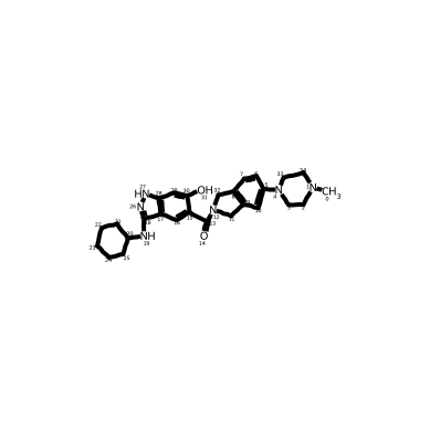 CN1CCN(c2ccc3c(c2)CN(C(=O)c2cc4c(NC5CCCCC5)n[nH]c4cc2O)C3)CC1